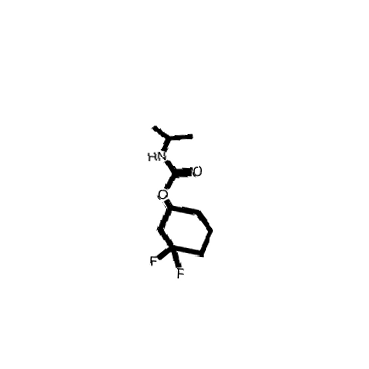 CC(C)NC(=O)OC1CCCC(F)(F)C1